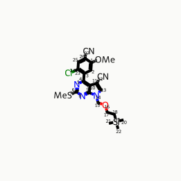 COc1cc(-c2nc(SC)nc3c2c(C#N)cn3COCC[Si](C)(C)C)c(Cl)cc1C#N